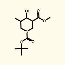 COC(=O)C1CN(C(=O)OC(C)(C)C)CC(C)C1O